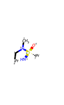 CC(C)CN(C)[S@](=N)(=O)C(C)C